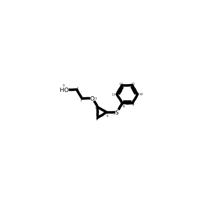 OCCOC1CC1Sc1ccccc1